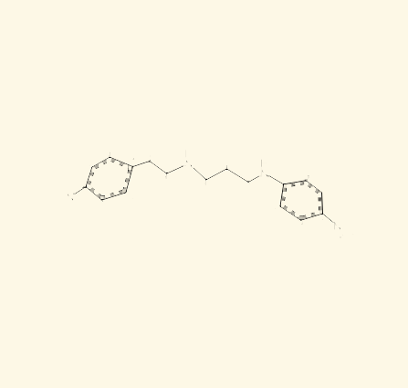 Nc1ccc(CCNCCCNc2ccc(N)cc2)cc1